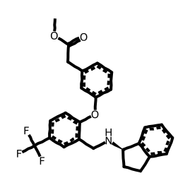 COC(=O)Cc1cccc(Oc2ccc(C(F)(F)F)cc2CN[C@@H]2CCc3ccccc32)c1